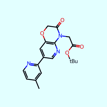 Cc1ccnc(-c2cnc3c(c2)OCC(=O)N3CC(=O)OC(C)(C)C)c1